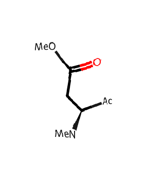 CN[C@@H](CC(=O)OC)C(C)=O